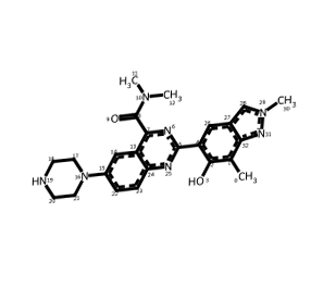 Cc1c(O)c(-c2nc(C(=O)N(C)C)c3cc(N4CCNCC4)ccc3n2)cc2cn(C)nc12